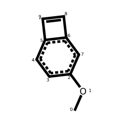 COc1ccc2c(c1)C=[C]2